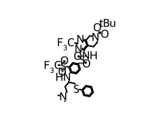 CN(C)CCC(CSc1ccccc1)Nc1ccc(S(=O)(=O)Nc2nc(C(F)(F)F)nc3c2CCN(C(=O)OC(C)(C)C)C3)cc1S(=O)(=O)C(F)(F)F